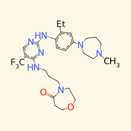 CCc1cc(N2CCCN(C)CC2)ccc1Nc1ncc(C(F)(F)F)c(NCCCN2CCOCCC2=O)n1